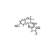 CC1(C)Oc2ccc(C#N)cc2C(OC2=CC(=O)C(I)C2)C1O